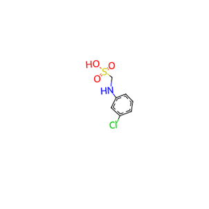 O=S(=O)(O)CNc1cccc(Cl)c1